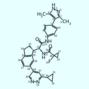 Cc1n[nH]c(C)c1-c1ccc(NC(=O)[C@@H](NC(=O)C2(F)CC2)[C@@H]2CCc3ccc(-c4cnnc(C5CC5)c4)cc32)cc1